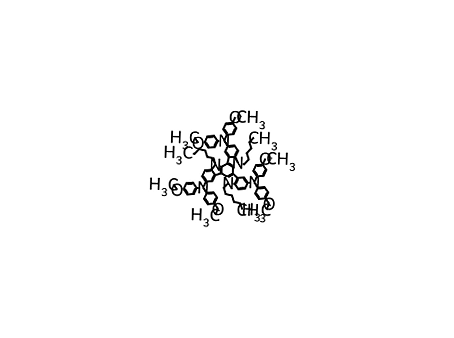 CCCCCCn1c2ccc(N(c3ccc(OC)cc3)c3ccc(OC)cc3)cc2c2c1c1c3cc(N(c4ccc(OC)cc4)c4ccc(OC)cc4)ccc3n(CCCCCC)c1c1c3cc(N(c4ccc(OC)cc4)c4ccc(OC)cc4)ccc3n(CCCCCC)c21